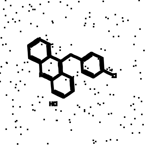 Cl.Clc1ccc(Cc2c3ccccc3nc3ccccc23)cc1